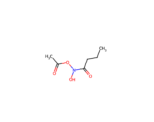 CCCC(=O)N(O)OC(C)=O